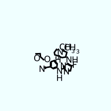 CC1(C)C[C@H](Nc2nc(Nc3ccc(OCC4CCO4)c(C#N)c3)ncc2F)C[C@@H]2CCCN21